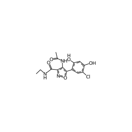 CCNC(=O)c1noc(-c2cc(Cl)c(O)cc2O)c1NC(C)=O